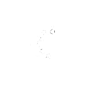 CC(CCC(=O)N[C@@H](C[C@@H]1CCNC1=O)C(=O)O)CNC(=O)OC1CCCC1Cc1cccc(Cl)c1